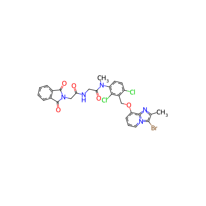 Cc1nc2c(OCc3c(Cl)ccc(N(C)C(=O)CNC(=O)CN4C(=O)c5ccccc5C4=O)c3Cl)cccn2c1Br